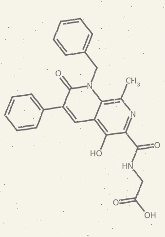 Cc1nc(C(=O)NCC(=O)O)c(O)c2cc(-c3ccccc3)c(=O)n(Cc3ccccc3)c12